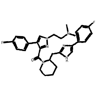 CN(C)CCn1cc(-c2ccc(F)cc2)c(C(=O)N2CCCCC2Cc2nc(-c3ccc(F)cc3)c[nH]2)n1